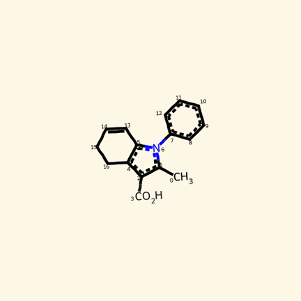 Cc1c(C(=O)O)c2c(n1-c1ccccc1)C=CCC2